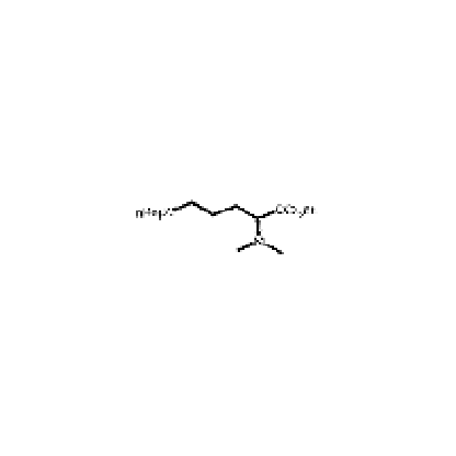 CCCCCCCCCCC(C(=O)OCC)N(C)C